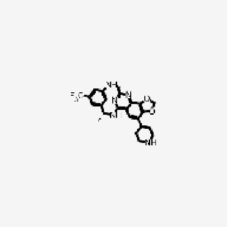 Cc1nc(N[C@H](C)c2cc(N)cc(C(F)(F)F)c2)c2cc(C3CCNCC3)c3c(c2n1)OCO3